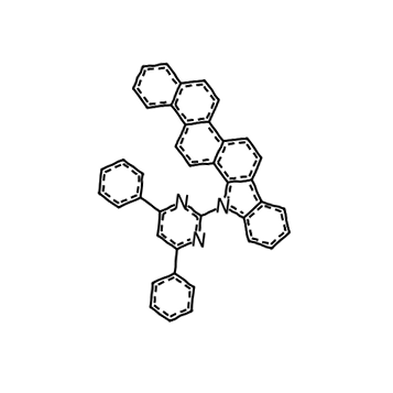 c1ccc(-c2cc(-c3ccccc3)nc(-n3c4ccccc4c4ccc5c6ccc7ccccc7c6ccc5c43)n2)cc1